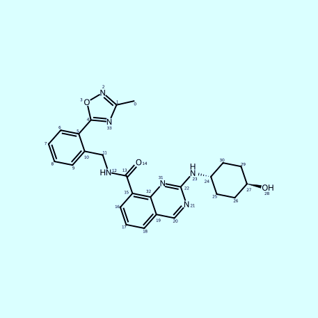 Cc1noc(-c2ccccc2CNC(=O)c2cccc3cnc(N[C@H]4CC[C@H](O)CC4)nc23)n1